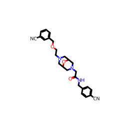 N#Cc1ccc(CNC(=O)CN2CC3CN(CCOCc4cccc(C#N)c4)CC(C2)O3)cc1